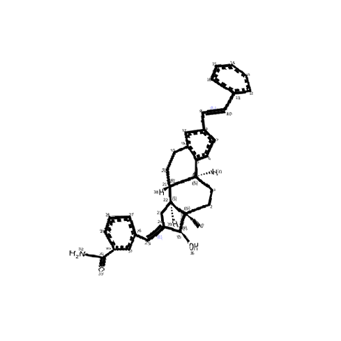 C[C@]12CC[C@@H]3c4ccc(/C=C/c5ccccc5)cc4CC[C@H]3[C@@H]1C/C(=C\c1cccc(C(N)=O)c1)[C@@H]2O